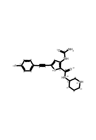 NC(=O)Nc1cc(C#Cc2ccc(F)cc2)sc1C(=O)NC1CCCNC1